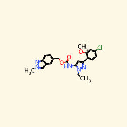 CCn1nc(-c2ccc(Cl)cc2OC)cc1NC(=O)OCc1ccc2nn(C)cc2c1